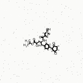 CC(C)OC(=O)C(O)CC(Cc1ccc(-c2cc(Cl)ccc2Cl)cc1)NC(=O)c1cn(O)nn1